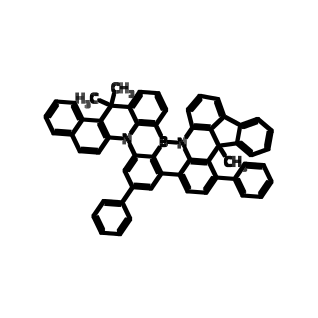 CC1(C)c2cccc3c2N(c2cc(-c4ccccc4)cc4c2B3N2c3cccc5c3C(C)(c3ccccc3-5)c3c(-c5ccccc5)ccc-4c32)c2ccc3ccccc3c21